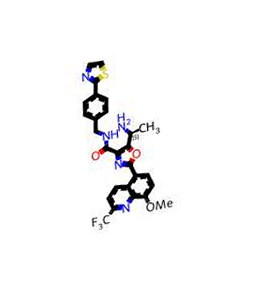 COc1ccc(-c2nc(C(=O)NCc3ccc(-c4nccs4)cc3)c([C@H](C)N)o2)c2ccc(C(F)(F)F)nc12